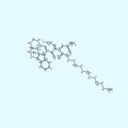 CC[C@@]12C=C(C(=O)N[C@@H](CC(N)=O)C(=O)OCCOCCOCCOCCO)n3c4c(c5ccccc53)CCN(CCC1)[C@H]42